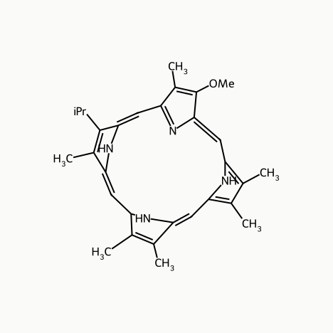 COC1=C(C)C2=NC/1=C\c1[nH]c(c(C)c1C)/C=C1\NC(/C=c3\[nH]/c(c(C(C)C)c3C)=C\2)C(C)=C1C